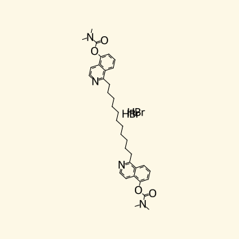 Br.Br.CN(C)C(=O)Oc1cccc2c(CCCCCCCCCCCc3nccc4c(OC(=O)N(C)C)cccc34)nccc12